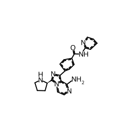 Nc1nccn2c([C@H]3CCCN3)nc(-c3ccc(C(=O)Nc4ccccn4)cc3)c12